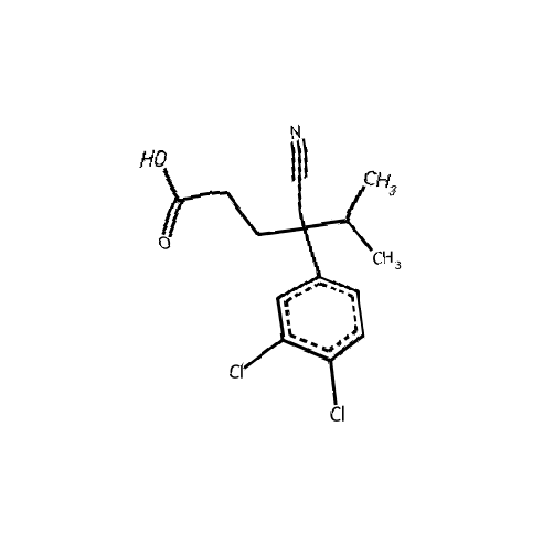 CC(C)C(C#N)(CCC(=O)O)c1ccc(Cl)c(Cl)c1